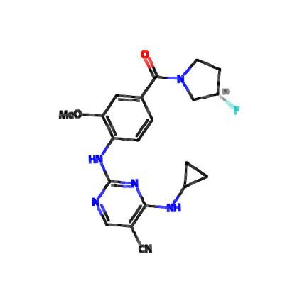 COc1cc(C(=O)N2CC[C@H](F)C2)ccc1Nc1ncc(C#N)c(NC2CC2)n1